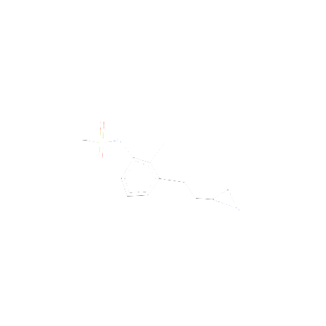 Cc1c(CCC2CN2)cccc1NS(C)(=O)=O